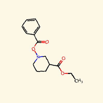 CCOC(=O)C1CCCN(OC(=O)c2ccccc2)C1